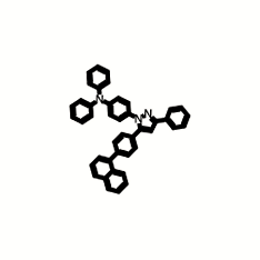 c1ccc(-c2cc(-c3ccc(-c4cccc5ccccc45)cc3)n(-c3ccc(N(c4ccccc4)c4ccccc4)cc3)n2)cc1